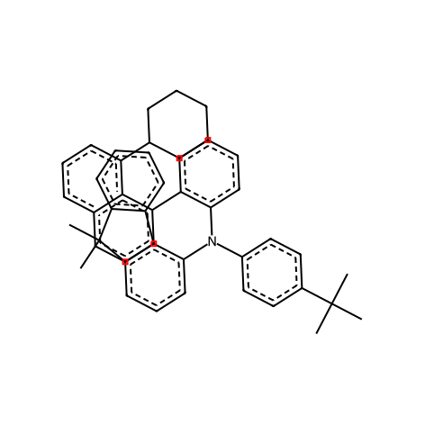 CC(C)(C)c1ccc(N(c2ccccc2-c2cccc3cccc(C4CCCCC4)c23)c2cccc3c2-c2ccccc2C3(C)C)cc1